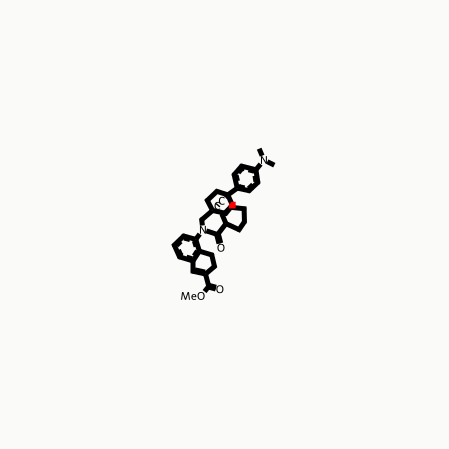 COC(=O)C1=Cc2cccc(N(CC34CCC(c5ccc(N(C)C)cc5)(CC3)CC4)C(=O)C3CCCCC3)c2CC1